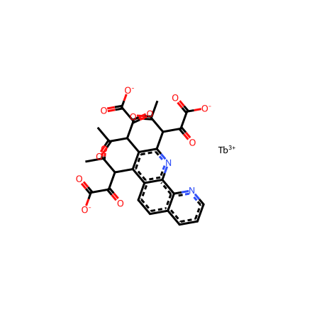 CC(=O)C(C(=O)C(=O)[O-])c1nc2c(ccc3cccnc32)c(C(C(C)=O)C(=O)C(=O)[O-])c1C(C(C)=O)C(=O)C(=O)[O-].[Tb+3]